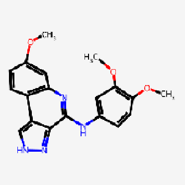 COc1ccc2c(c1)nc(Nc1ccc(OC)c(OC)c1)c1n[nH]cc12